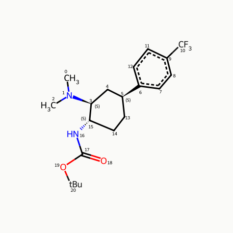 CN(C)[C@H]1C[C@@H](c2ccc(C(F)(F)F)cc2)CC[C@@H]1NC(=O)OC(C)(C)C